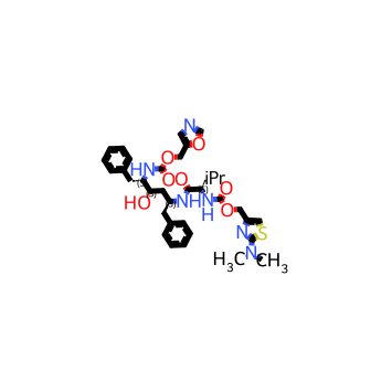 CC(C)[C@H](NC(=O)OCc1csc(N(C)C)n1)C(=O)N[C@@H](Cc1ccccc1)C[C@H](O)[C@H](Cc1ccccc1)NC(=O)OCc1cnco1